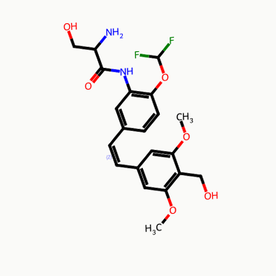 COc1cc(/C=C\c2ccc(OC(F)F)c(NC(=O)C(N)CO)c2)cc(OC)c1CO